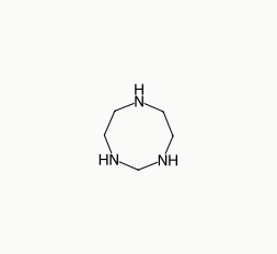 C1CNCNCCN1